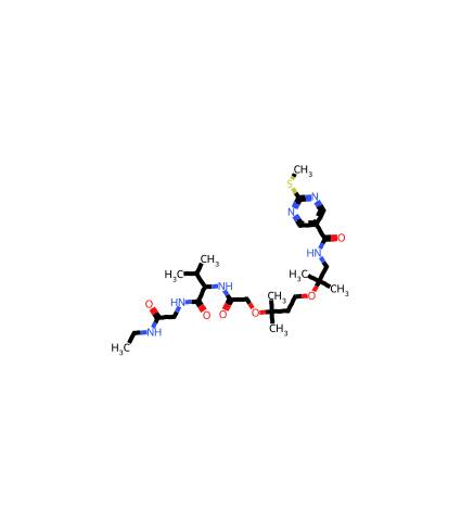 CCNC(=O)CNC(=O)C(NC(=O)COC(C)(C)CCOC(C)(C)CNC(=O)c1cnc(SC)nc1)C(C)C